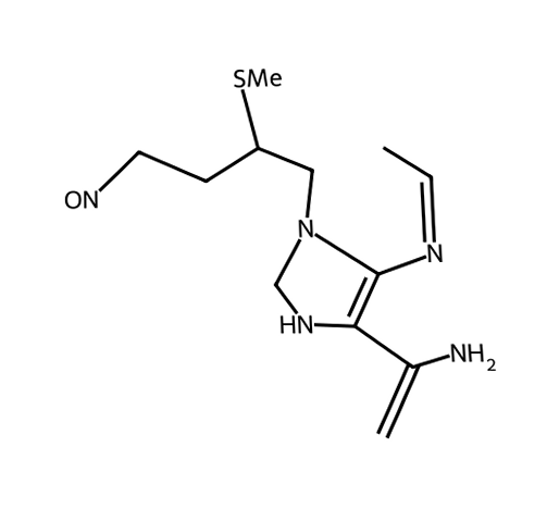 C=C(N)C1=C(/N=C\C)N(CC(CCN=O)SC)CN1